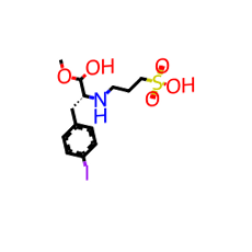 COC(O)[C@@H](Cc1ccc(I)cc1)NCCCS(=O)(=O)O